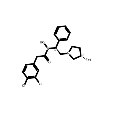 O=C(Cc1ccc(Cl)c(Cl)c1)N(O)[C@H](CN1CC[C@H](O)C1)c1ccccc1